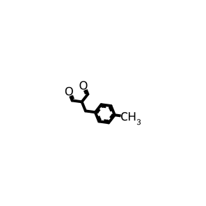 Cc1ccc(CC(C=O)C=O)cc1